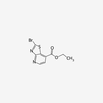 CCOC(=O)c1ccnc2nc(Br)sc12